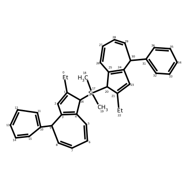 CCC1=CC2=C(C=CC=CC2c2ccccc2)C1[Si](C)(C)C1C(CC)=CC2=C1C=CC=CC2c1ccccc1